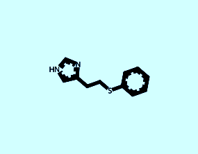 c1ccc(SCCc2c[nH]cn2)cc1